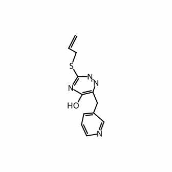 C=CCSc1nnc(Cc2cccnc2)c(O)n1